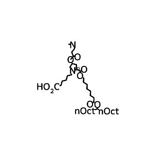 CCCCCCCCC(CCCCCCCC)OC(=O)CCCCCCCOC(=O)[C@@H]1CC(OC(=O)CCN(C)C)CN1CCCCCC(=O)O